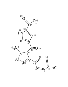 CC1ON=C(c2ccc(Cl)cc2)C1C(=O)c1c[nH]c(C(=O)O)c1